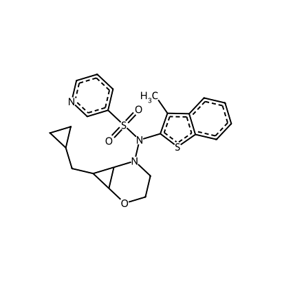 Cc1c(N(N2CCOC3C(CC4CC4)C32)S(=O)(=O)c2cccnc2)sc2ccccc12